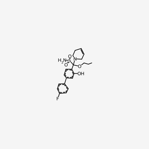 CCCOC(c1ccc(-c2ccc(F)cc2)cc1O)(N1CC=CCC1)S(N)(=O)=O